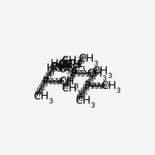 CC(=O)O.CC(=O)O.CC(=O)O.CCCCCCCCP(CCCCCCCC)CCCCCCCC.CCCCCCCCP(CCCCCCCC)CCCCCCCC.CCCCCCCCP(CCCCCCCC)CCCCCCCC